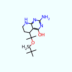 CC(C)(C)[SiH2]OC(C)(C)C1CCNc2nc(N)nc(O)c21